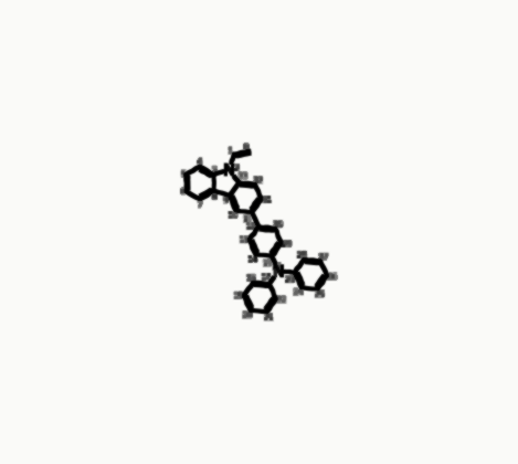 C=Cn1c2ccccc2c2cc(-c3ccc(N(c4ccccc4)c4ccccc4)cc3)ccc21